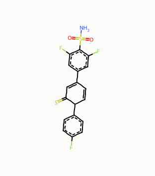 NS(=O)(=O)c1c(F)cc(C2=CC(=S)C(c3ccc(F)cc3)C=C2)cc1F